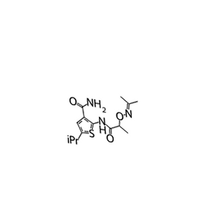 CC(C)=NOC(C)C(=O)Nc1sc(C(C)C)cc1C(N)=O